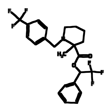 CC1(C(=O)OC(c2ccccc2)C(F)(F)F)CCCCN1Cc1ccc(C(F)(F)F)cc1